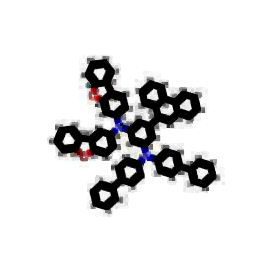 c1ccc(-c2ccc(N(c3ccc(-c4ccccc4)cc3)c3cc(-c4cc5ccccc5c5ccccc45)cc(N(c4ccc5c(c4)oc4ccccc45)c4ccc5oc6ccccc6c5c4)c3)cc2)cc1